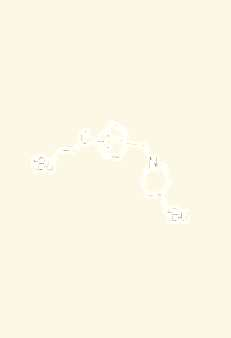 CC(C)(C)CCOC12CCC(CN3CCC(C(C)(C)C)CC3)(CC1)CC2